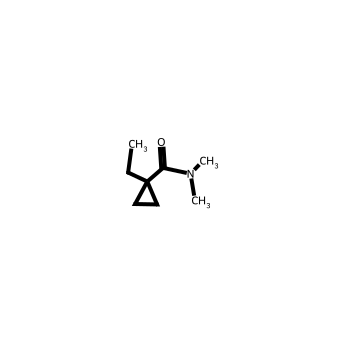 CCC1(C(=O)N(C)C)CC1